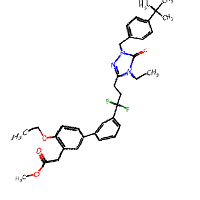 CCOc1ccc(-c2cccc(C(F)(F)CCc3nn(Cc4ccc(C(C)(C)C)cc4)c(=O)n3CC)c2)cc1CC(=O)OC